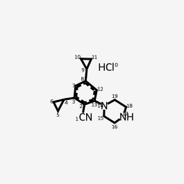 Cl.N#Cc1c(C2CC2)cc(C2CC2)cc1N1CCNCC1